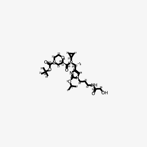 CC(C)Oc1nc([C@@H](C)N(C(=O)[C@H]2CN(C(=O)OC(C)(C)C)CCO2)C2CC2)cn1CCCNC(=O)CO